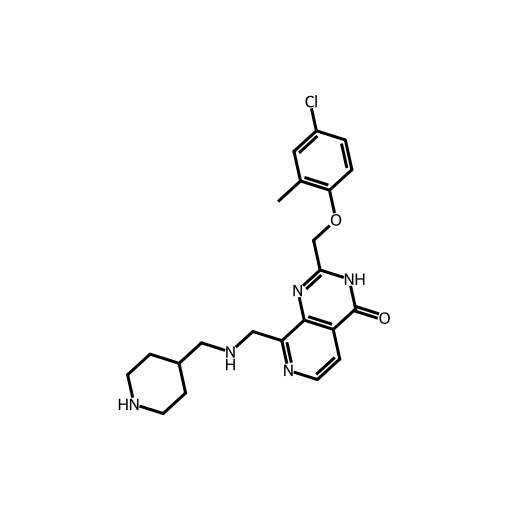 Cc1cc(Cl)ccc1OCc1nc2c(CNCC3CCNCC3)nccc2c(=O)[nH]1